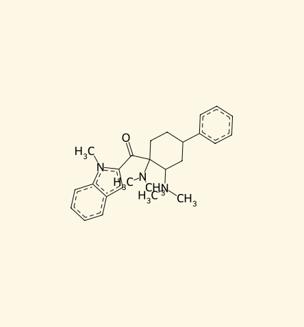 CN(C)C1CC(c2ccccc2)CCC1(C(=O)c1cc2ccccc2n1C)N(C)C